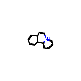 C1=CC2C=C[n+]3ccccc3C2C=C1